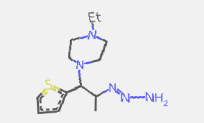 CCN1CCN(C(c2cccs2)C(C)N=NN)CC1